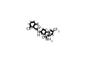 NS(=O)(=O)c1cc(NC(=O)Cc2c(F)cccc2Cl)ccc1-n1cc(C(F)(F)F)cn1